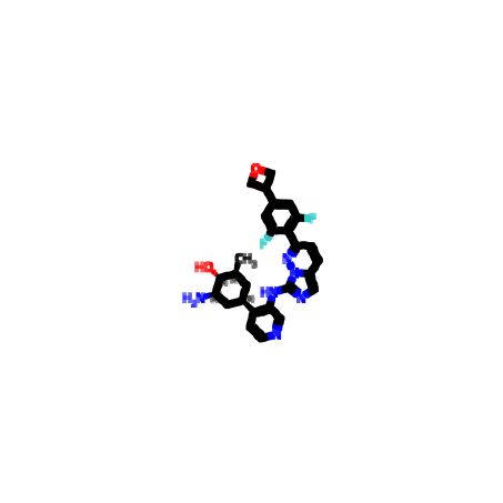 C[C@H]1C[C@@H](c2ccncc2Nc2ncc3ccc(-c4c(F)cc(C5COC5)cc4F)nn23)C[C@@H](N)[C@@H]1O